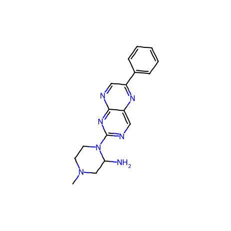 CN1CCN(c2ncc3nc(-c4ccccc4)cnc3n2)C(N)C1